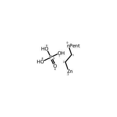 CCCCCC[CH2][Zn].O=P(O)(O)O